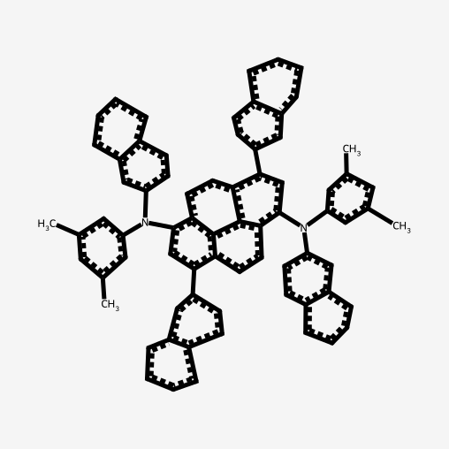 Cc1cc(C)cc(N(c2ccc3ccccc3c2)c2cc(-c3ccc4ccccc4c3)c3ccc4c(N(c5cc(C)cc(C)c5)c5ccc6ccccc6c5)cc(-c5ccc6ccccc6c5)c5ccc2c3c54)c1